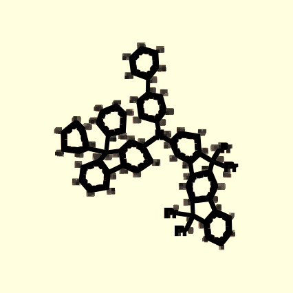 CC(C)C1(C(C)C)c2ccccc2-c2cc3c(cc21)-c1cc(N(c2ccc(-c4ccccc4)cc2)c2ccc4c(c2)C(c2ccccc2)(c2ccccc2)c2ccccc2-4)ccc1C3(C(C)C)C(C)C